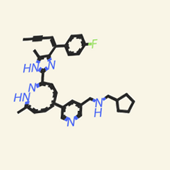 CC#C/C=C(/c1ccc(F)cc1)c1nc(-c2ccc(-c3cncc(CNCC4CCCC4)c3)ccc(C)[nH]n2)[nH]c1C